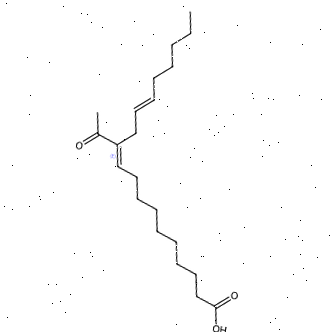 CCCCCC=CC/C(=C\CCCCCCCCC(=O)O)C(C)=O